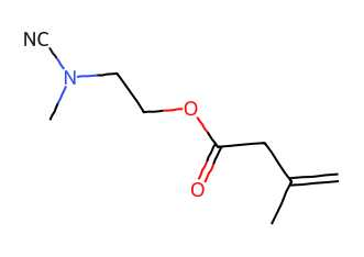 C=C(C)CC(=O)OCCN(C)C#N